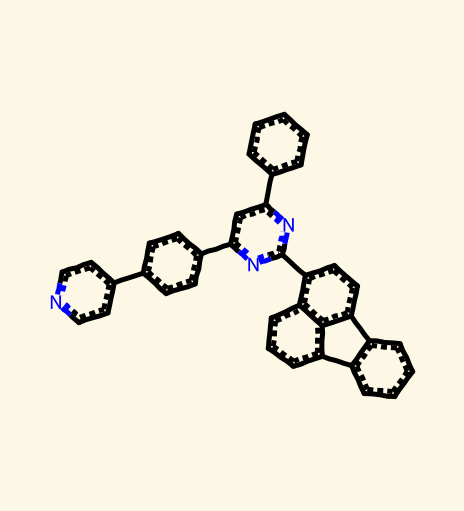 c1ccc(-c2cc(-c3ccc(-c4ccncc4)cc3)nc(-c3ccc4c5c(cccc35)-c3ccccc3-4)n2)cc1